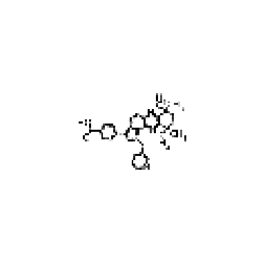 CC1(C)CCC(C)(C)c2nc3c(ccc4c(-c5ccc(C(=O)O)cc5)cn(Cc5cccnc5)c43)nc21